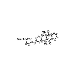 COc1ccc(Sc2ccc3c(O)c4c(c(O)c3c2)C(=O)c2ccccc2C4=O)cc1